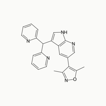 Cc1noc(C)c1-c1cnc2[nH]cc(C(c3ccccn3)c3ccccn3)c2c1